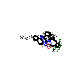 COc1ccc2c(c1)CCc1nc(N3C/C(C)=C\c4c(F)c(F)c(F)c(F)c4CC3=O)c(-c3ccccc3)nc1-2